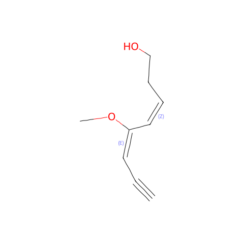 C#C/C=C(\C=C/CCO)OC